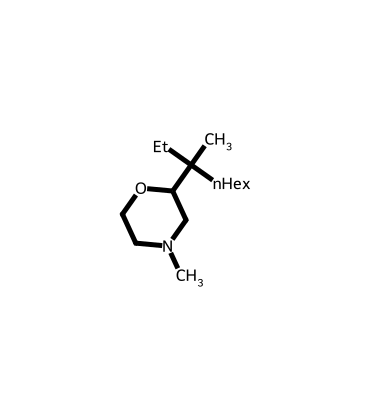 CCCCCCC(C)(CC)C1CN(C)CCO1